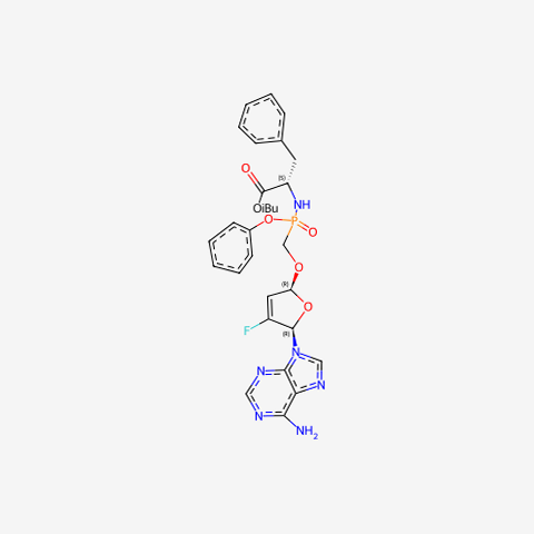 CC(C)COC(=O)[C@H](Cc1ccccc1)NP(=O)(CO[C@@H]1C=C(F)[C@H](n2cnc3c(N)ncnc32)O1)Oc1ccccc1